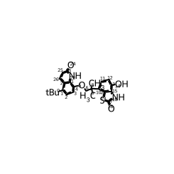 CC(C)(C)c1ccc(OCC(C)(C)c2ccc(O)c3[nH]c(=O)sc23)c2[nH]c(=O)ccc12